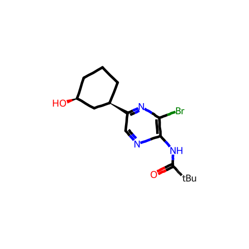 CC(C)(C)C(=O)Nc1ncc([C@@H]2CCC[C@H](O)C2)nc1Br